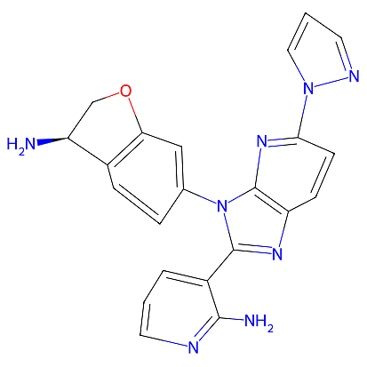 Nc1ncccc1-c1nc2ccc(-n3cccn3)nc2n1-c1ccc2c(c1)OC[C@@H]2N